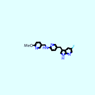 COc1ccc(CNc2ccc(Cc3c[nH]c4ncc(F)cc34)cn2)cn1